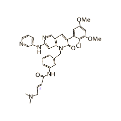 COc1cc(OC)c(Cl)c(-c2cc3cnc(Nc4cccnc4)cc3n(Cc3cccc(NC(=O)/C=C/CN(C)C)c3)c2=O)c1